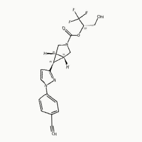 C#Cc1ccc(-n2ccc([C@H]3[C@@H]4CN(C(=O)O[C@@H](CO)C(F)(F)F)C[C@@H]43)n2)cc1